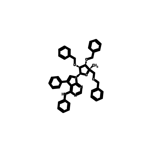 C[C@]1(COCc2ccccc2)O[C@@H](n2cc(-c3ccccc3)c3c(Nc4ccccc4)ncnc32)[C@H](OCc2ccccc2)[C@@H]1OCc1ccccc1